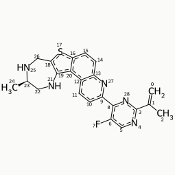 C=C(C)c1ncc(F)c(-c2ccc3c(ccc4sc5c(c43)NC[C@@H](C)NC5)n2)n1